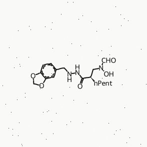 CCCCC[C@H](CN(O)C=O)C(=O)NNCc1ccc2c(c1)OCO2